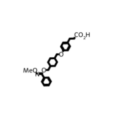 CO/N=C(\OCC1CCC(COc2ccc(CCC(=O)O)cc2)CC1)c1ccccc1